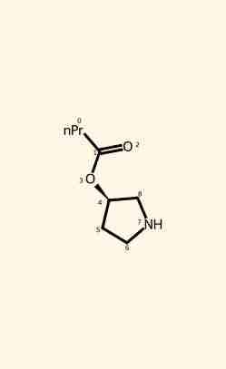 CCCC(=O)O[C@@H]1CCNC1